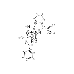 COC(=O)[C@H]1c2ccccc2[C@H]2CN1C(=O)N2OP(=O)(O)OCc1ccccc1